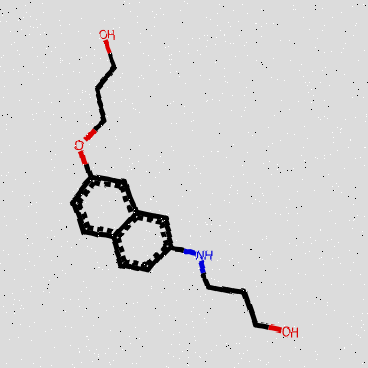 OCCCNc1ccc2ccc(OCCCO)cc2c1